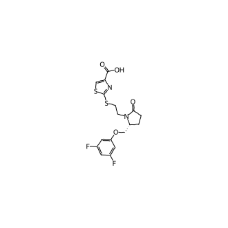 O=C(O)c1csc(SCCN2C(=O)CC[C@@H]2COc2cc(F)cc(F)c2)n1